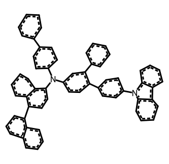 c1ccc(-c2ccc(N(c3ccc(-c4ccc(-n5c6ccccc6c6ccccc65)cc4)c(-c4ccccc4)c3)c3ccc(-c4cccc5ccccc45)c4ccccc34)cc2)cc1